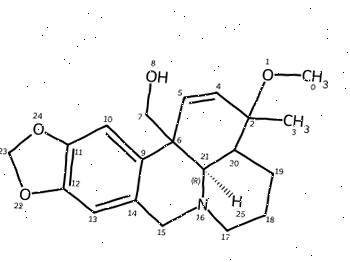 COC1(C)C=CC2(CO)c3cc4c(cc3CN3CCCC1[C@@H]32)OCO4